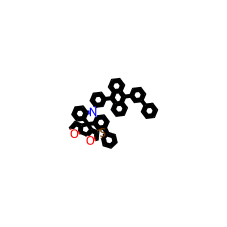 c1ccc(-c2cccc(-c3c4ccccc4c(-c4cccc(N5c6ccccc6C6(c7ccoc7-c7occc76)c6c5ccc5c6sc6ccccc65)c4)c4ccccc34)c2)cc1